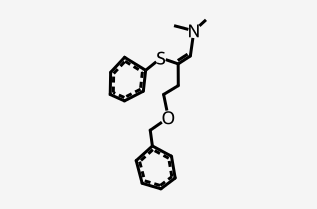 CN(C)C=C(CCOCc1ccccc1)Sc1ccccc1